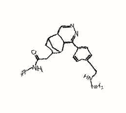 CC(C)NC(=O)CC1CC2CC1C1C(c3ccc(CNN)cc3)=NN=CC21